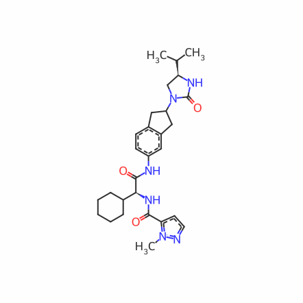 CC(C)[C@@H]1CN(C2Cc3ccc(NC(=O)[C@@H](NC(=O)c4ccnn4C)C4CCCCC4)cc3C2)C(=O)N1